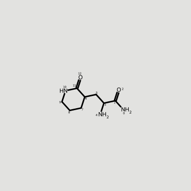 NC(=O)C(N)CC1CCCNC1=O